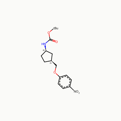 CC(C)(C)OC(=O)N[C@@H]1CC[C@H](COc2ccc([N+](=O)[O-])cc2)C1